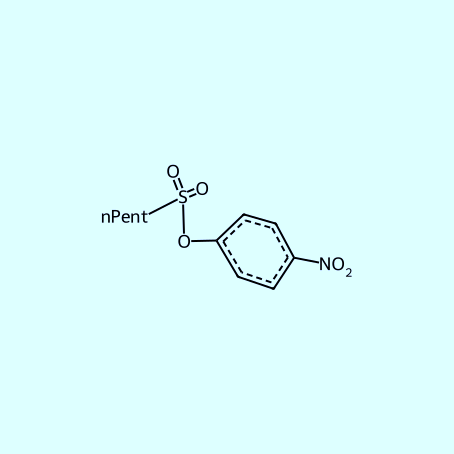 CCCCCS(=O)(=O)Oc1ccc([N+](=O)[O-])cc1